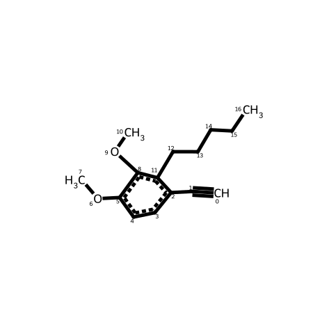 C#Cc1ccc(OC)c(OC)c1CCCCC